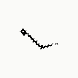 CC(C)(CCCCC[C]=O)CCCCCCCCCOC1CC2[CH]CC1C2